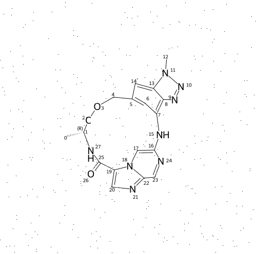 C[C@@H]1COCc2cc(c3nnn(C)c3c2)Nc2cn3c(cnc3cn2)C(=O)N1